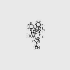 C#CC1=NO[C@H]([C@@H](O)CO[Si](c2ccccc2)(c2ccccc2)C(C)(C)C)C1